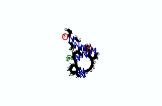 C=CC(=O)N1CCN(c2nc(=O)n3c4nc(c(F)cc24)-c2cccc4cnn(c24)CCCCc2ccnc(C(C)C)c2-3)[C@@H](C)C1